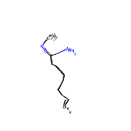 C=CCCC/C(N)=N/C